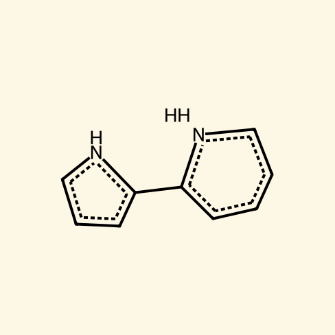 [HH].c1ccc(-c2ccc[nH]2)nc1